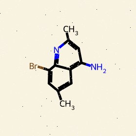 Cc1cc(Br)c2nc(C)cc(N)c2c1